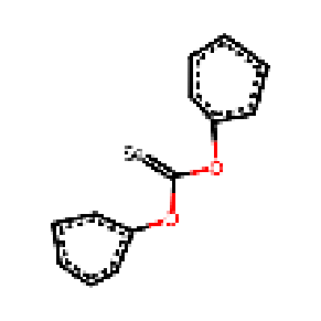 [Se]=C(Oc1ccccc1)Oc1ccccc1